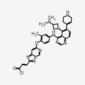 Cc1cc(Nc2ncnc3ccc(C4=CCNCC4)c(N4CC(N(C)C)C4)c23)ccc1Oc1cc2nc(/C=C/C(=O)Cl)nn2cn1